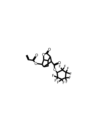 C=CC(=O)OC1C2CC3C1OC(=O)C3C2C(=O)OC1C(F)(F)C(F)(F)C(F)(F)C(F)(F)C1(F)F